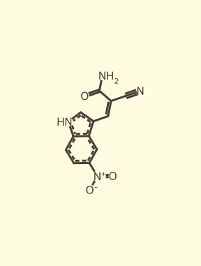 N#CC(=Cc1c[nH]c2ccc([N+](=O)[O-])cc12)C(N)=O